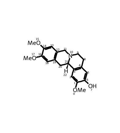 COc1cc2c(cc1O)CCN1Cc3cc(OC)c(OC)cc3C[C@@H]21